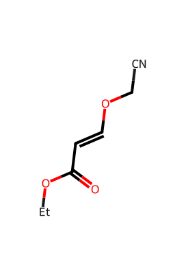 CCOC(=O)C=COCC#N